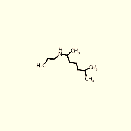 CCCNC(C)CCCC(C)C